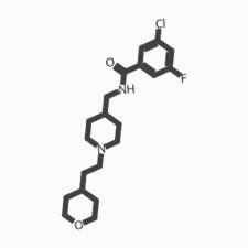 O=C(NCC1CCN(CCC2CCOCC2)CC1)c1cc(F)cc(Cl)c1